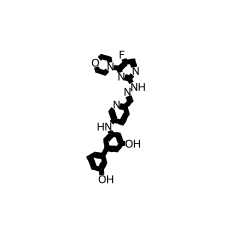 Oc1cccc(-c2cc(O)cc(Nc3ccc(/C=N/Nc4ncc(F)c(N5CCOCC5)n4)nc3)c2)c1